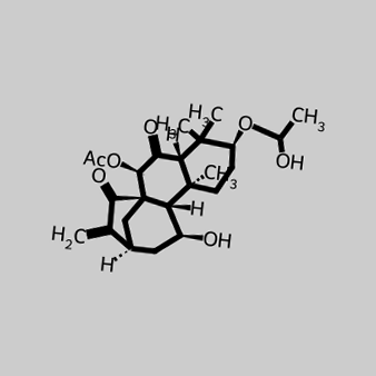 C=C1C(=O)[C@]23C[C@H]1C[C@H](O)[C@H]2[C@]1(C)CC[C@H](OC(C)O)C(C)(C)[C@H]1C(=O)[C@@H]3OC(C)=O